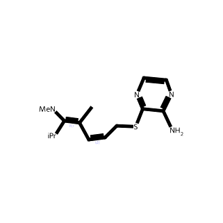 CN/C(=C(C)/C=C\CSc1nccnc1N)C(C)C